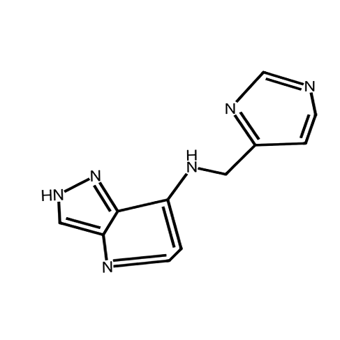 c1cc(CNc2ccnc3c[nH]nc23)ncn1